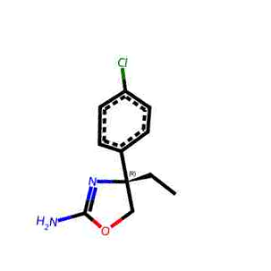 CC[C@@]1(c2ccc(Cl)cc2)COC(N)=N1